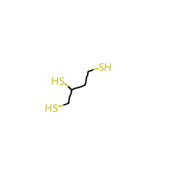 SCCC(S)CS